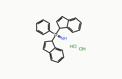 Cl.Cl.[NH]=[Zr]([c]1ccccc1)([CH]1C=Cc2ccccc21)[CH]1C=Cc2ccccc21